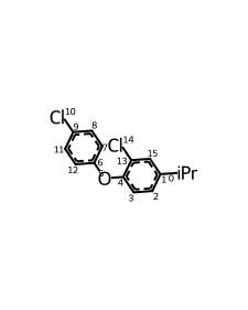 CC(C)c1ccc(Oc2ccc(Cl)cc2)c(Cl)c1